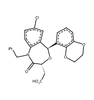 CC(C)CN1C(=O)[C@@H](CC(=O)O)O[C@H](c2cccc3c2OCCO3)c2cc(Cl)ccc21